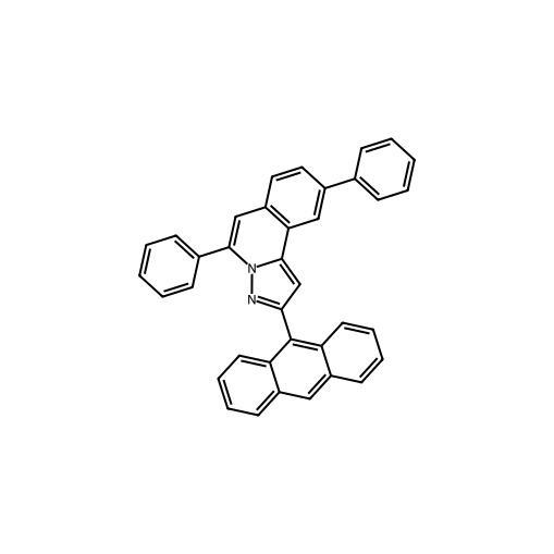 c1ccc(-c2ccc3cc(-c4ccccc4)n4nc(-c5c6ccccc6cc6ccccc56)cc4c3c2)cc1